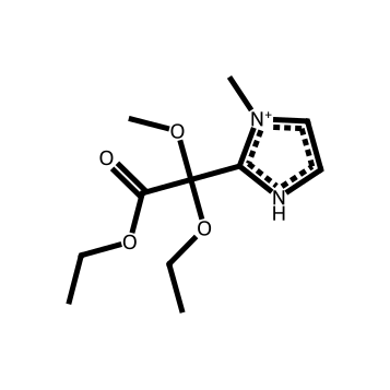 CCOC(=O)C(OC)(OCC)c1[nH]cc[n+]1C